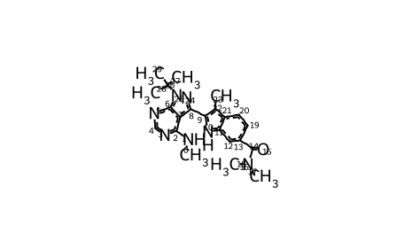 CNc1ncnc2c1c(-c1[nH]c3cc(C(=O)N(C)C)ccc3c1C)nn2C(C)(C)C